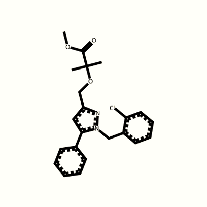 COC(=O)C(C)(C)OCc1cc(-c2ccccc2)n(Cc2ccccc2Cl)n1